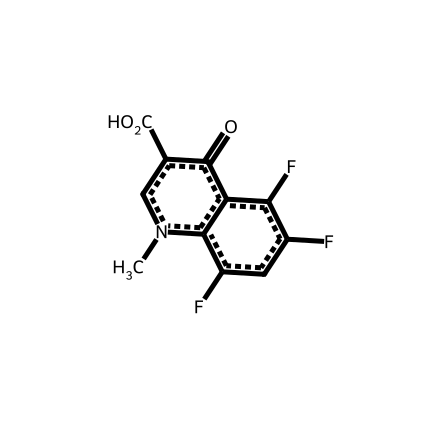 Cn1cc(C(=O)O)c(=O)c2c(F)c(F)cc(F)c21